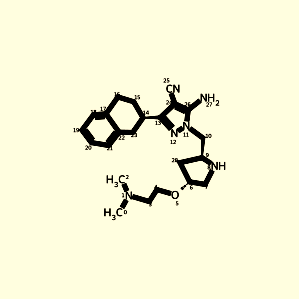 CN(C)CCO[C@H]1CN[C@H](Cn2nc([C@@H]3CCc4ccccc4C3)c(C#N)c2N)C1